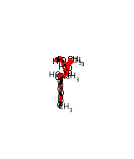 CCN(CC)c1ccc(NC(=O)c2cccc(C(=O)N(C)CCN3CCN(C(=O)O)[C@@H](CCOCCOCCOCCOCCOCCOCCOC)C3)c2)c(-c2cc(C(=O)NC3CCCc4ccccc43)ccn2)c1